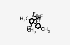 COCc1[c]c(C)cc(C(F)(C(F)(F)F)C(F)(F)F)c1-c1ccc(C)cc1